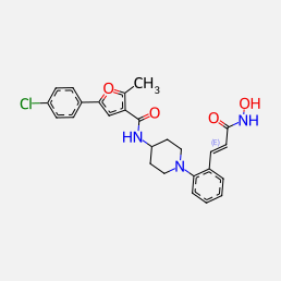 Cc1oc(-c2ccc(Cl)cc2)cc1C(=O)NC1CCN(c2ccccc2/C=C/C(=O)NO)CC1